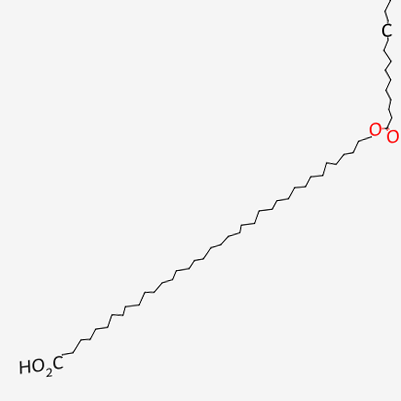 CCCCCCCCC=CCCCCCCCCCCCCCC(=O)OCCCCCCCCCCCCCCCCCCCCCCCCCCCCCCCCCCCCCCC(=O)O